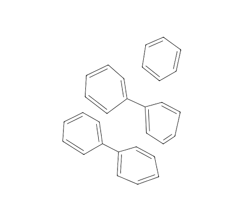 c1ccc(-c2ccccc2)cc1.c1ccc(-c2ccccc2)cc1.c1ccccc1